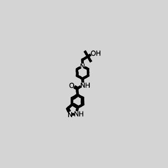 CC(C)(O)CN1CCC(NC(=O)c2ccc3[nH]ncc3c2)CC1